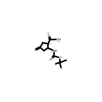 C=C1CC(NC(=O)OC(C)(C)C)C(C(=O)O)C1